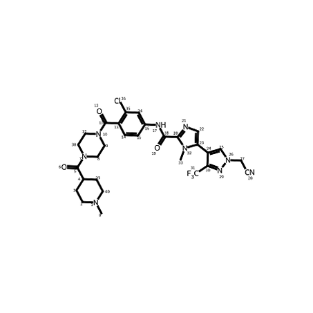 CN1CCC(C(=O)N2CCN(C(=O)c3ccc(NC(=O)c4ncc(-c5cn(CC#N)nc5C(F)(F)F)n4C)cc3Cl)CC2)CC1